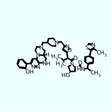 Cc1ncsc1-c1ccc(C(C)NC(=O)[C@@H]2C[C@@H](O)CN2C(=O)C(c2cc(CN3CCC(CN4CCN5c6cc(-c7ccccc7O)nnc6NC[C@H]5C4)CC3)no2)C(C)C)cc1